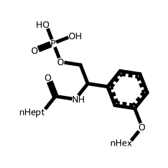 CCCCCCCC(=O)NC(COP(=O)(O)O)c1cccc(OCCCCCC)c1